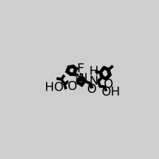 Cc1ccc(C(CC(=O)O)NC(=O)c2cc(OCC(C)(O)C(C)C)n(-c3ccccc3F)n2)c(C)c1